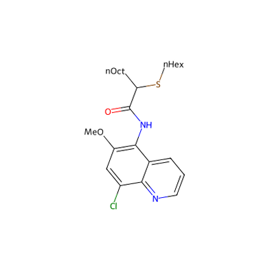 CCCCCCCCC(SCCCCCC)C(=O)Nc1c(OC)cc(Cl)c2ncccc12